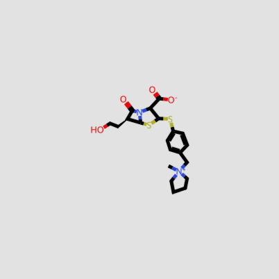 C[N+]1(Cc2ccc(SC3SC4[C@@H](CCO)C(=O)N4C3C(=O)[O-])cc2)CCCC1